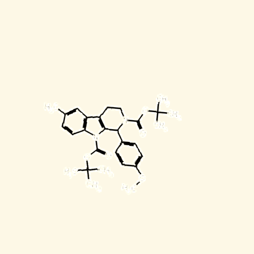 COc1ccc(C2c3c(c4cc(C)ccc4n3C(=O)OC(C)(C)C)CCN2C(=O)OC(C)(C)C)cc1